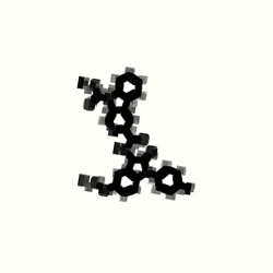 COc1ccc2c(c1)C(NC(=O)c1cc3c4ccccc4n(C(C)=O)c3cn1)C(=O)N2c1ccc(F)cc1